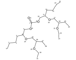 CCCCC(COC(=O)OCC(CCCC)OCC(CC)OCC)OCC(CC)OCC